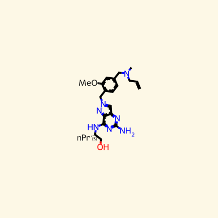 C=CCN(C)Cc1ccc(Cn2cc3nc(N)nc(N[C@H](CO)CCC)c3n2)c(OC)c1